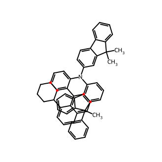 CC1(C)c2ccccc2-c2ccc(N(c3ccccc3-c3cccc4cccc(C5CCCCC5)c34)c3cccc4c3-c3ccccc3C4(C)c3ccccc3)cc21